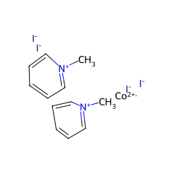 C[n+]1ccccc1.C[n+]1ccccc1.[Co+2].[I-].[I-].[I-].[I-]